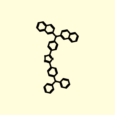 c1ccc(N(c2ccccc2)c2ccc(-c3nsc(-c4ccc(N(c5ccc6ccccc6c5)c5ccc6ccccc6c5)cc4)n3)cc2)cc1